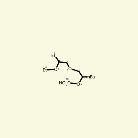 CCCCC(COCC(CC)OCC)OC(=O)O